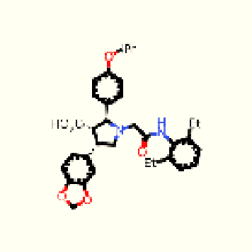 CCc1cccc(CC)c1NC(=O)CN1C[C@H](c2ccc3c(c2)OCO3)[C@H](C(=O)O)[C@H]1c1ccc(OC(C)C)cc1